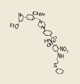 CCOc1cncc(-c2ccc(CN3CCN(c4ccc(C(=O)NS(=O)(=O)c5ccc(NCCSc6ccccc6)c([N+](=O)[O-])c5)cc4)CC3)c(OC)c2)c1